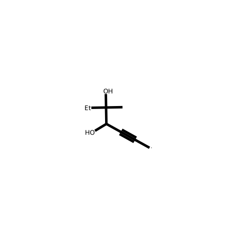 [CH2]C#CC(O)C(C)(O)CC